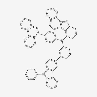 c1ccc(-n2c3ccccc3c3cc(-c4cccc(N(c5ccc(-c6cc7ccccc7c7ccccc67)cc5)c5cccc6oc7c8ccccc8ccc7c56)c4)ccc32)cc1